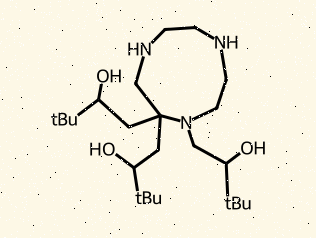 CC(C)(C)C(O)CN1CCNCCNCC1(CC(O)C(C)(C)C)CC(O)C(C)(C)C